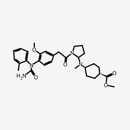 COc1cc(CC(=O)N2CCCC2N(C)[C@H]2CC[C@@H](C(=O)OC)CC2)ccc1N(C(N)=O)c1ccccc1C